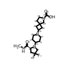 CNC(=O)[C@@H]1CC(F)(F)CN1C1CCN(C2CC3(CCN(C(=O)O)C3)C2)CC1